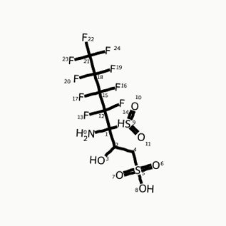 NC(C(O)CS(=O)(=O)O)([SH](=O)=O)C(F)(F)C(F)(F)C(F)(F)C(F)(F)F